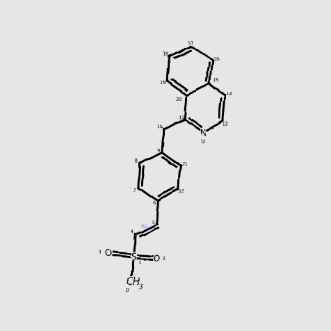 CS(=O)(=O)/C=C/c1ccc(Cc2nccc3ccccc23)cc1